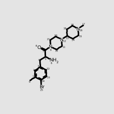 Cc1cc(CC(N)C(=O)N2CCN(C3CCN(C)CC3)CC2)ccc1Br